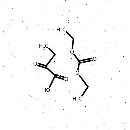 CCC(=O)C(=O)O.CCOC(=O)OCC